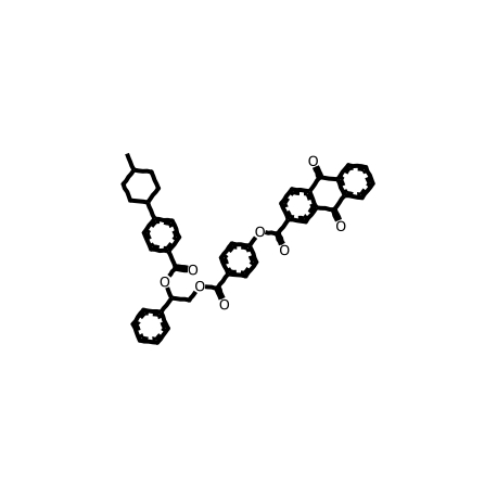 CC1CCC(c2ccc(C(=O)OC(COC(=O)c3ccc(OC(=O)c4ccc5c(c4)C(=O)c4ccccc4C5=O)cc3)c3ccccc3)cc2)CC1